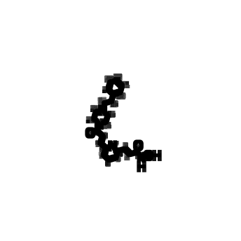 O=C(C=Cc1cccc(C=CC(=O)N2CCN(CCc3ccccc3)CC2)n1)NO